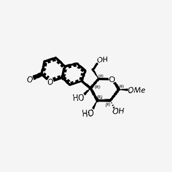 CO[C@@H]1O[C@H](CO)[C@@](O)(c2ccc3ccc(=O)oc3c2)[C@H](O)[C@H]1O